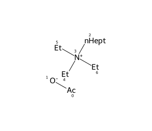 CC(=O)[O-].CCCCCCC[N+](CC)(CC)CC